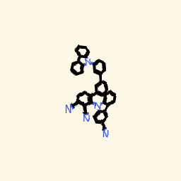 N#Cc1ccc2c(c1)c1ccccc1n2-c1c(-c2cccc(-c3cccc(-n4c5ccccc5c5ccccc54)c3)c2)ccc(C#N)c1C#N